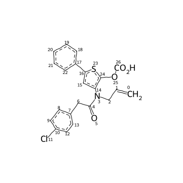 C=CCN(C(=O)Cc1ccc(Cl)cc1)c1cc(-c2ccccc2)sc1OC(=O)O